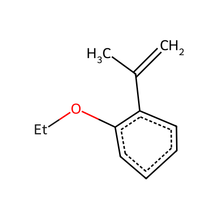 C=C(C)c1ccccc1OCC